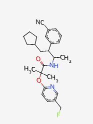 CC(NC(=O)C(C)(C)Oc1ccc(CF)cn1)C(CC1CCCC1)c1cccc(C#N)c1